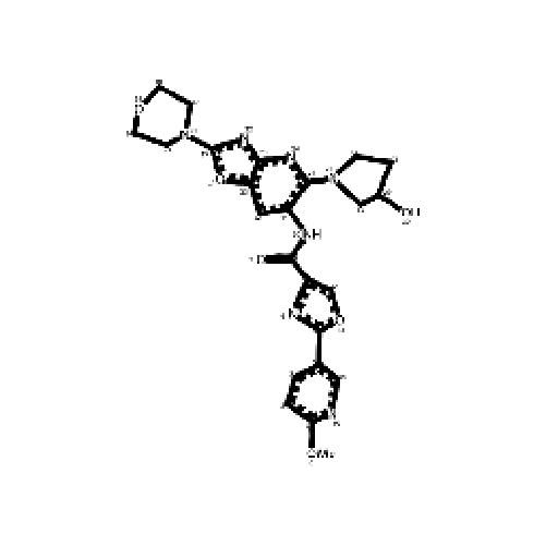 COc1ccc(-c2nc(C(=O)Nc3cc4oc(N5CCOCC5)nc4nc3N3CCC(O)C3)co2)cn1